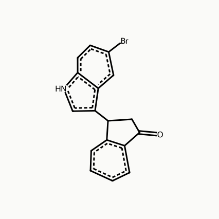 O=C1CC(c2c[nH]c3ccc(Br)cc23)c2ccccc21